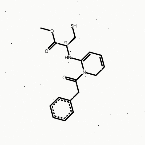 COC(=O)[C@@H](CS)NC1=CC=CCN1C(=O)Cc1ccccc1